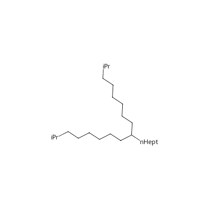 CCCCCCCC(CCCCCCC(C)C)CCCCCCC(C)C